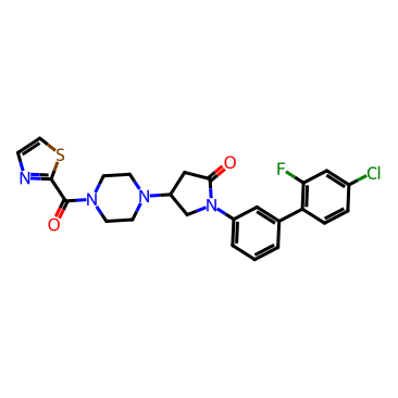 O=C(c1nccs1)N1CCN(C2CC(=O)N(c3cccc(-c4ccc(Cl)cc4F)c3)C2)CC1